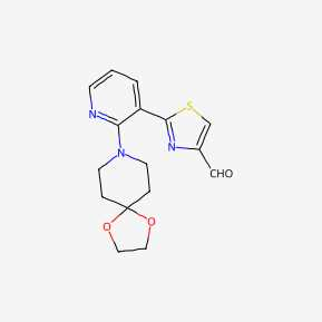 O=Cc1csc(-c2cccnc2N2CCC3(CC2)OCCO3)n1